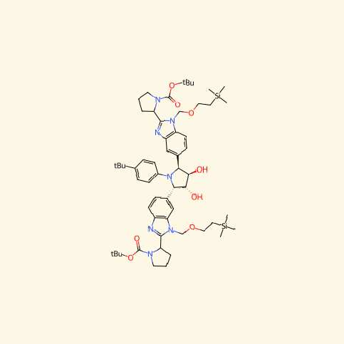 CC(C)(C)OC(=O)N1CCCC1c1nc2cc([C@H]3[C@@H](O)[C@H](O)[C@H](c4ccc5nc(C6CCCN6C(=O)OC(C)(C)C)n(COCC[Si](C)(C)C)c5c4)N3c3ccc(C(C)(C)C)cc3)ccc2n1COCC[Si](C)(C)C